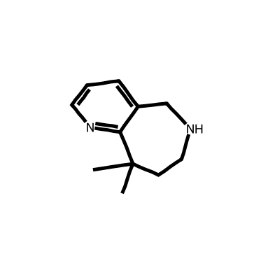 CC1(C)CCNCc2cccnc21